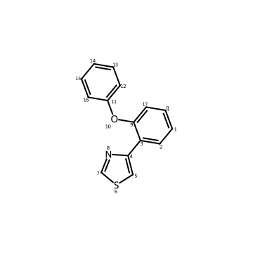 [c]1ccc(-c2cscn2)c(Oc2ccccc2)c1